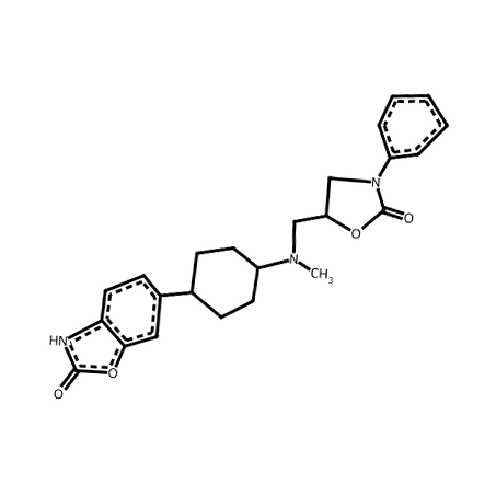 CN(CC1CN(c2ccccc2)C(=O)O1)C1CCC(c2ccc3[nH]c(=O)oc3c2)CC1